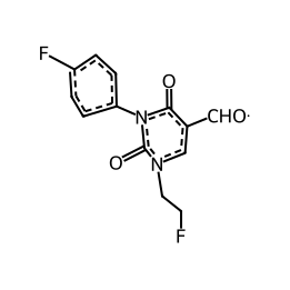 O=[C]c1cn(CCF)c(=O)n(-c2ccc(F)cc2)c1=O